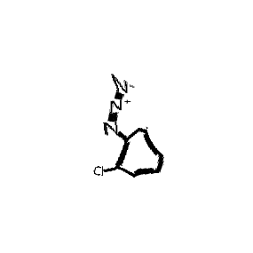 [N-]=[N+]=Nc1[c]cccc1Cl